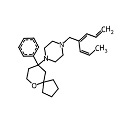 C=C/C=C(\C=C/C)CN1CCN(C2(c3ccccc3)CCOC3(CCCC3)C2)CC1